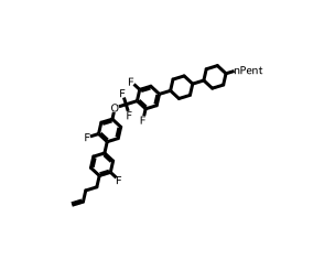 C=CCCc1ccc(-c2ccc(OC(F)(F)c3c(F)cc(C4CCC(C5CCC(CCCCC)CC5)CC4)cc3F)cc2F)cc1F